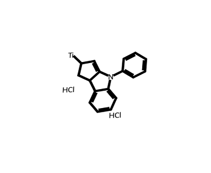 Cl.Cl.[Ti][CH]1C=C2C(C1)c1ccccc1N2c1ccccc1